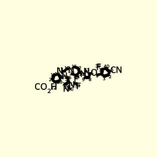 N#Cc1ccc(COc2ccn(C3CCN(Cc4nc5ccc(C(=O)O)cc5n4Cc4cncn4C(F)F)CC3)n2)c(F)c1